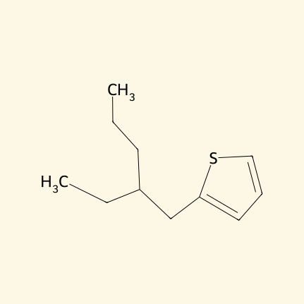 CCCC(CC)Cc1cccs1